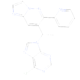 C[C@@H](c1cc2nccn2nc1-c1ccccn1)n1cnc2c(Cl)ncnc21